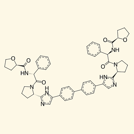 O=C(N[C@@H](C(=O)N1CCC[C@H]1c1ncc(-c2ccc(-c3ccc(-c4cnc([C@@H]5CCCN5C(=O)[C@H](NC(=O)[C@H]5CCCO5)c5ccccc5)[nH]4)cc3)cc2)[nH]1)c1ccccc1)[C@H]1CCCO1